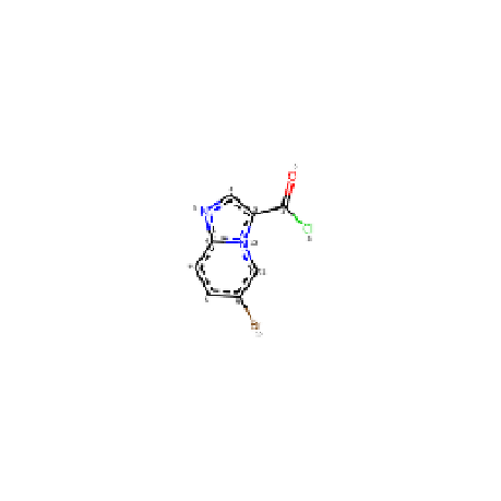 O=C(Cl)c1cnc2ccc(Br)cn12